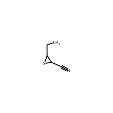 CCC1SC1C#N